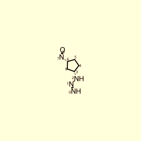 N=NN[C@H]1CC[C@@H](N=O)C1